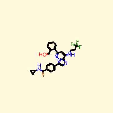 OCc1ccccc1-c1cc(NCCC(F)(F)F)c2ncc(-c3ccc(C(=S)NC4CC4)cc3)n2n1